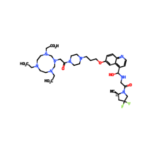 N#C[C@@H]1CC(F)(F)CN1C(=O)CNC(O)c1ccnc2ccc(OCCCN3CCN(C(=O)CN4CN(CC(=O)O)CCN(CC(=O)O)CCN(CC(=O)O)C4)CC3)cc12